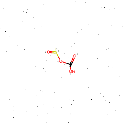 O=[SH]OC(=O)O